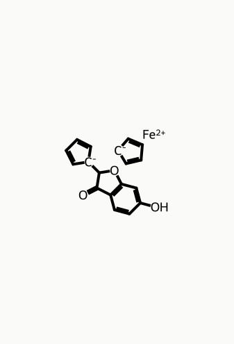 O=C1c2ccc(O)cc2OC1[c-]1cccc1.[Fe+2].c1cc[cH-]c1